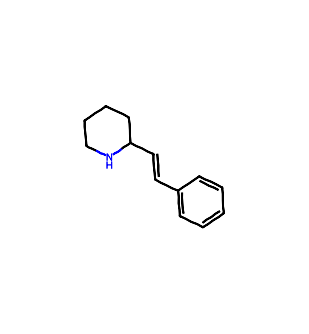 C(=CC1CCCCN1)c1ccccc1